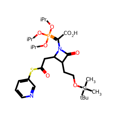 CC(C)OP(OC(C)C)(OC(C)C)=C(C(=O)O)N1C(=O)C(CCO[Si](C)(C)C(C)(C)C)C1CC(=O)Sc1cccnc1